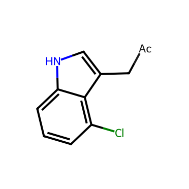 CC(=O)Cc1c[nH]c2cccc(Cl)c12